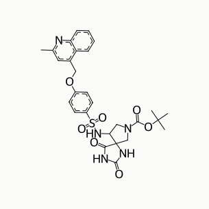 Cc1cc(COc2ccc(S(=O)(=O)NC3CN(C(=O)OC(C)(C)C)CC34NC(=O)NC4=O)cc2)c2ccccc2n1